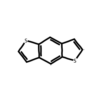 [c]1cc2cc3sccc3[c]c2s1